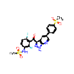 CCCS(=O)(=O)Nc1ccc(F)c(C(=O)c2n[nH]c3ncc(-c4ccc(S(C)(=O)=O)cc4)cc23)c1F